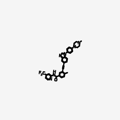 Cc1ccc(C(=O)Nc2cc(C(F)(F)F)ccn2)cc1C#Cc1ccc2c(c1)ncn2-c1ccc(N2CCN(C)CC2)cc1